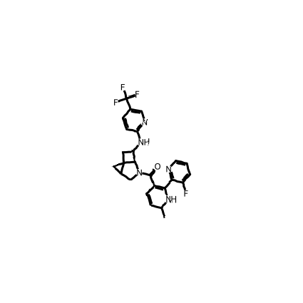 CC1C=CC(C(=O)N2CC3CC34CC(Nc3ccc(C(F)(F)F)cn3)C24)=C(c2ncccc2F)N1